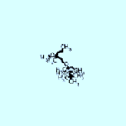 CCCC(C)(CCOC(C)(CC)[Si](C)(C)C(C)(C)C)OC